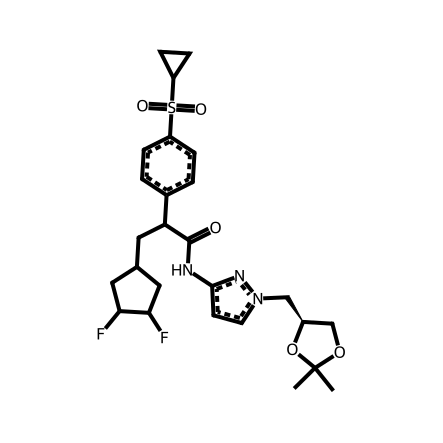 CC1(C)OC[C@H](Cn2ccc(NC(=O)C(CC3CC(F)C(F)C3)c3ccc(S(=O)(=O)C4CC4)cc3)n2)O1